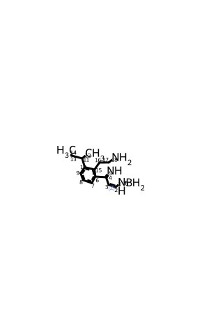 BN/C=C\C(=N)c1cccc(C(C)CC)c1CCN